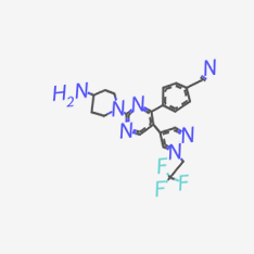 N#Cc1ccc(-c2nc(N3CCC(N)CC3)ncc2-c2cnn(CC(F)(F)F)c2)cc1